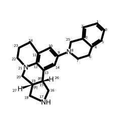 c1ccc2c(c1)CCN(c1cc3c4c(c1)[C@@H]1CNC[C@@H]1CN4CCC3)C2